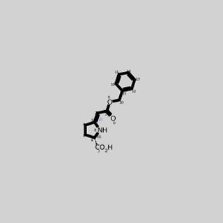 O=C(/C=C1/CC[C@@H](C(=O)O)N1)OCc1ccccc1